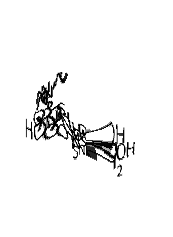 CN(C)CCn1nnnc1SCC1=C(C(=O)O)N2C(=O)[C@@H](NC(=O)C3C4=CS[C@@H](N)N4N3O[C@H](Sc3ccc(O)cc3)C(=O)O)[C@@H]2SC1